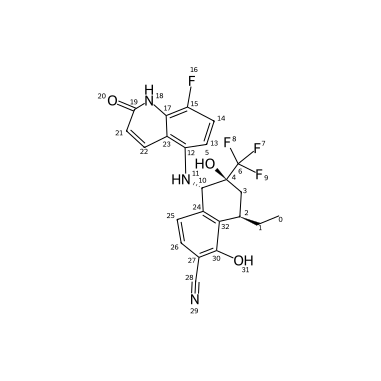 CC[C@@H]1C[C@@](O)(C(F)(F)F)[C@@H](Nc2ccc(F)c3[nH]c(=O)ccc23)c2ccc(C#N)c(O)c21